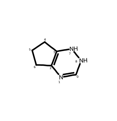 C1=NC2=C(CCC2)NN1